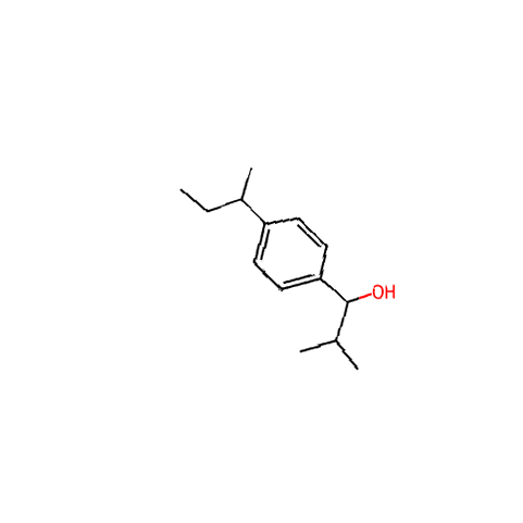 CCC(C)c1ccc(C(O)C(C)C)cc1